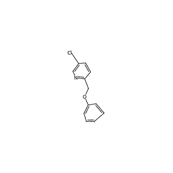 Clc1ccc(COc2cc[c]cc2)nc1